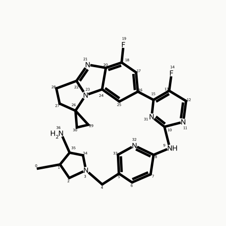 CC1CN(Cc2ccc(Nc3ncc(F)c(-c4cc(F)c5nc6n(c5c4)C4(CC6)CC4)n3)nc2)CC1N